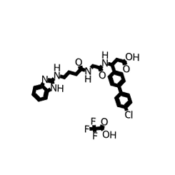 O=C(O)C(F)(F)F.O=C(O)CC(NC(=O)CNC(=O)CCCNc1nc2ccccc2[nH]1)c1ccc(-c2ccc(Cl)cc2)cc1